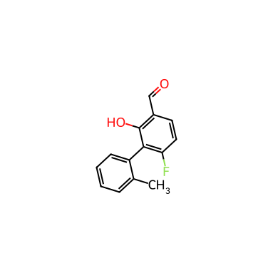 Cc1ccccc1-c1c(F)ccc(C=O)c1O